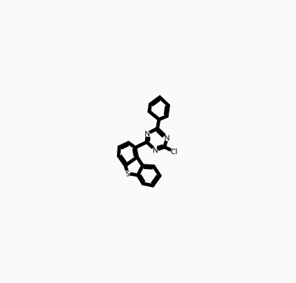 Clc1nc(-c2cccc3sc4ccccc4c23)nc(C2C=CC=CC2)n1